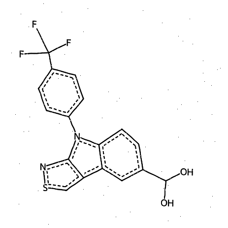 OC(O)c1ccc2c(c1)c1csnc1n2-c1ccc(C(F)(F)F)cc1